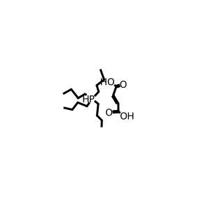 CCCC[PH](CCCC)(CCCC)CCCC.O=C(O)C=CC(=O)O